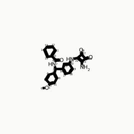 COc1ccc(C(NC(=O)c2ccccc2)c2cccc(Nc3c(N)c(=O)c3=O)c2)cc1